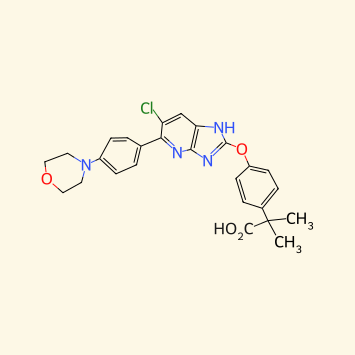 CC(C)(C(=O)O)c1ccc(Oc2nc3nc(-c4ccc(N5CCOCC5)cc4)c(Cl)cc3[nH]2)cc1